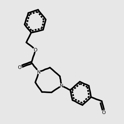 O=Cc1ccc(N2CCCN(C(=O)OCc3ccccc3)CC2)cc1